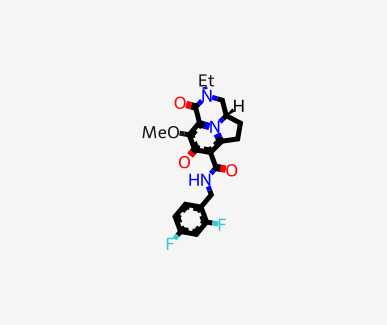 CCN1C[C@@H]2CCc3c(C(=O)NCc4ccc(F)cc4F)c(=O)c(OC)c(n32)C1=O